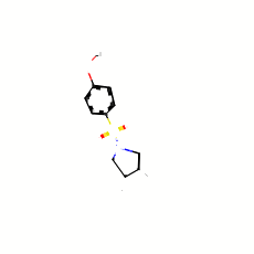 CC(C)Oc1ccc(S(=O)(=O)N2C[C@@H](C)[C@H](C)C2)cc1